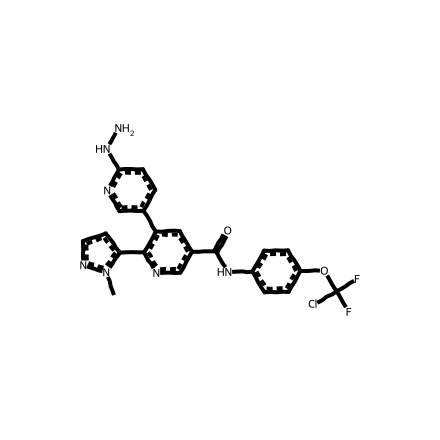 Cn1nccc1-c1ncc(C(=O)Nc2ccc(OC(F)(F)Cl)cc2)cc1-c1ccc(NN)nc1